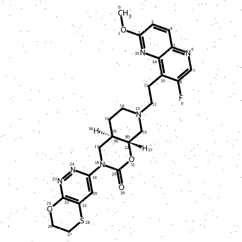 COc1ccc2ncc(F)c(CCN3CC[C@@H]4CN(c5cc6c(nn5)OCCS6)C(=O)O[C@H]4C3)c2n1